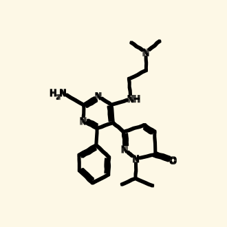 CC(C)n1nc(-c2c(NCCN(C)C)nc(N)nc2-c2ccccc2)ccc1=O